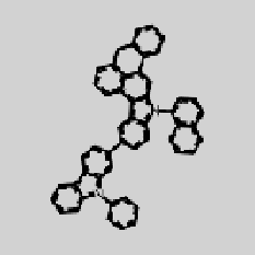 c1ccc(-n2c3ccccc3c3ccc(-c4ccc5c(c4)c4c6cccc7c6c(cc4n5-c4cccc5ccccc45)-c4ccccc4C7)cc32)cc1